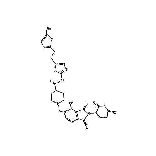 CC(C)(C)c1cnc(CSc2cnc(NC(=O)C3CCN(Cc4ccc5c(c4Br)C(=O)N(C4CCC(=O)NC4=O)C5=O)CC3)s2)o1